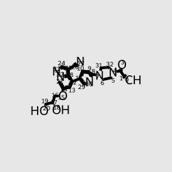 C#CC(=O)N1CCN(c2ccc(-c3cc(OC[C@H](O)CO)cn4ncc(C#N)c34)cn2)CC1